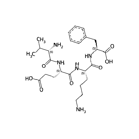 CC(C)[C@H](N)C(=O)N[C@@H](CCC(=O)O)C(=O)N[C@@H](CCCCN)C(=O)N[C@@H](Cc1ccccc1)C(=O)O